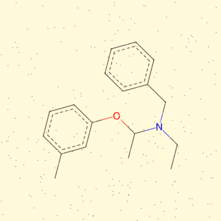 CCN(Cc1ccccc1)C(C)Oc1cccc(C)c1